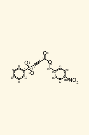 O=C(C#CS(=O)(=O)c1ccccc1)OCc1ccc([N+](=O)[O-])cc1